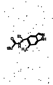 CC[C@@H](NC(=O)C(C)(C)C)c1cc2cn[nH]c2cc1C